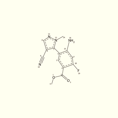 COC(=O)c1cc(-c2c(C#N)cnn2C)c(N)cc1F